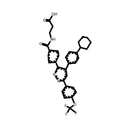 O=C(O)CCNC(=O)c1ccc(-c2nnc(-c3ccc(OC(F)(F)F)cc3)cc2-c2ccc(C3CCCCC3)cc2)cc1